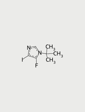 CC(C)(C)n1cnc(I)c1F